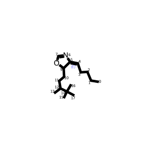 CCCC/C=C1/N=COC1CCC(C)C(C)(C)C